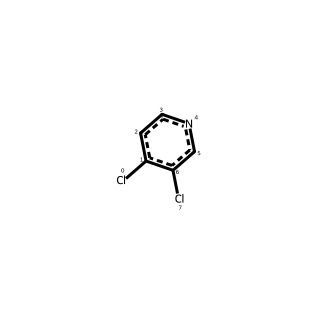 Clc1c[c]ncc1Cl